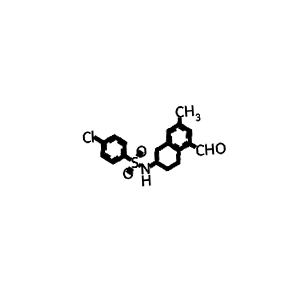 Cc1cc(C=O)c2c(c1)CC(NS(=O)(=O)c1ccc(Cl)cc1)CC2